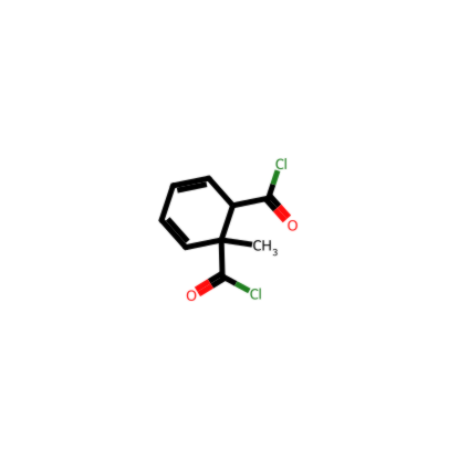 CC1(C(=O)Cl)C=CC=CC1C(=O)Cl